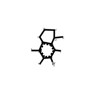 Cc1c(C)c2c(c(C)c1Br)C(C)CCC2